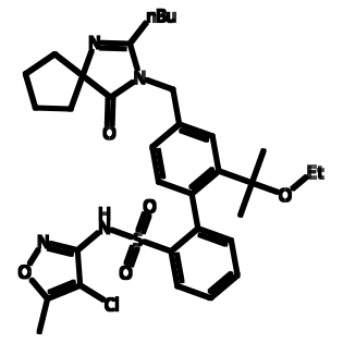 CCCCC1=NC2(CCCC2)C(=O)N1Cc1ccc(-c2ccccc2S(=O)(=O)Nc2noc(C)c2Cl)c(C(C)(C)OCC)c1